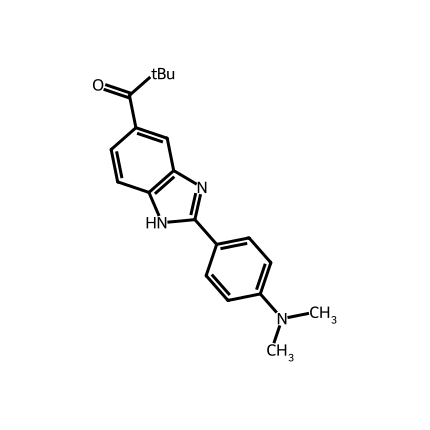 CN(C)c1ccc(-c2nc3cc(C(=O)C(C)(C)C)ccc3[nH]2)cc1